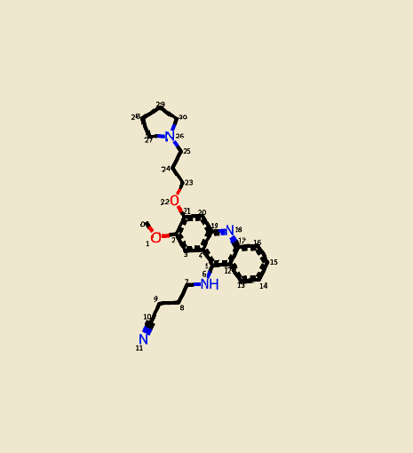 COc1cc2c(NCCCC#N)c3ccccc3nc2cc1OCCCN1CCCC1